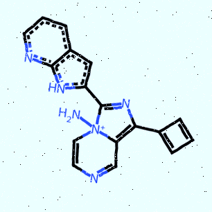 N[N+]12C=CN=CC1=C(C1=CC=C1)N=C2c1cc2cccnc2[nH]1